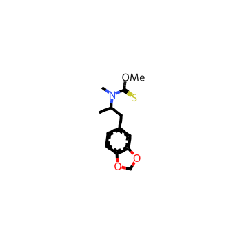 COC(=S)N(C)C(C)Cc1ccc2c(c1)OCO2